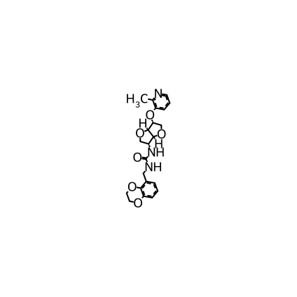 Cc1ncccc1O[C@H]1CO[C@H]2[C@@H]1OC[C@@H]2NC(=O)NCc1cccc2c1OCCO2